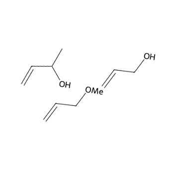 C=CC(C)O.C=CCO.C=CCOC